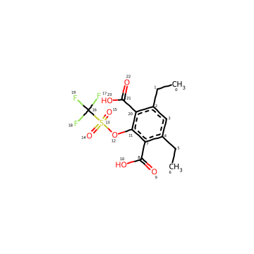 CCc1cc(CC)c(C(=O)O)c(OS(=O)(=O)C(F)(F)F)c1C(=O)O